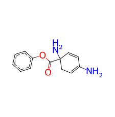 NC1=CCC(N)(C(=O)Oc2ccccc2)C=C1